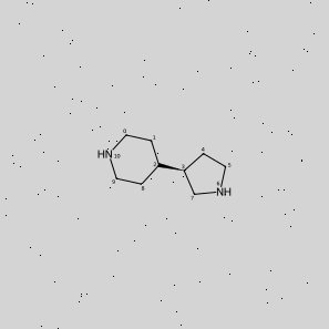 C1CC([C@H]2CCNC2)CCN1